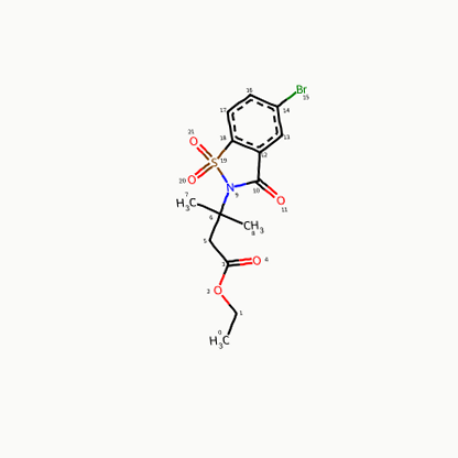 CCOC(=O)CC(C)(C)N1C(=O)c2cc(Br)ccc2S1(=O)=O